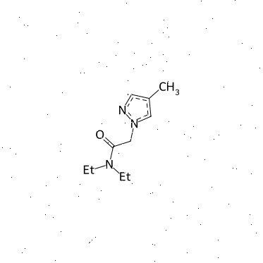 CCN(CC)C(=O)Cn1cc(C)[c]n1